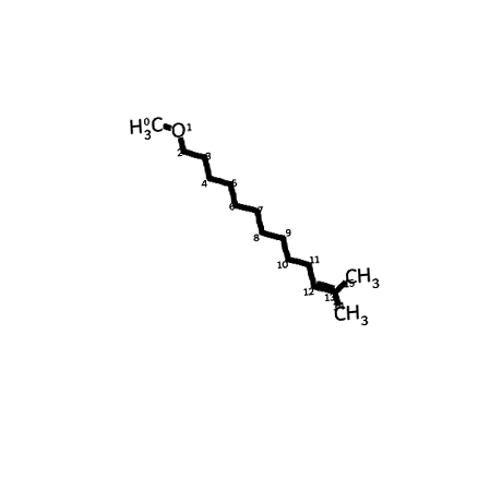 COCCCCCCCCCCC=C(C)C